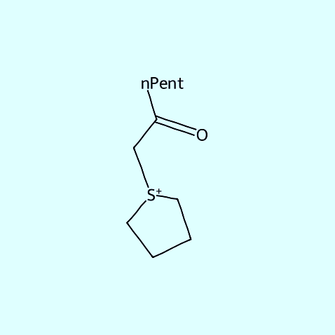 CCCCCC(=O)C[S+]1CCCC1